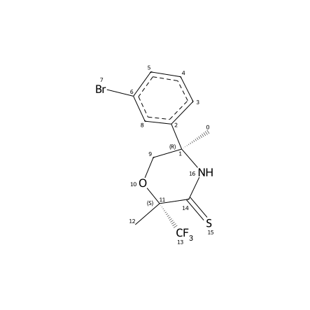 C[C@@]1(c2cccc(Br)c2)CO[C@@](C)(C(F)(F)F)C(=S)N1